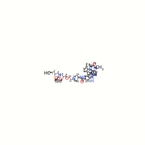 C#CCCCN(CCCOCCN1CCC(NC(=O)c2ccc(Nc3ncc4c(n3)N(C3CCCC3)[C@H](CC)C(=O)N4C)c(OC)c2)CC1)C(=O)OC(C)(C)C